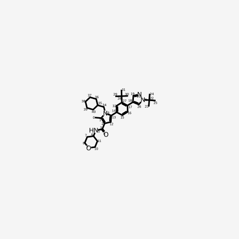 Cc1c(C(=O)NC2CCOCC2)cc(-c2ccc(-c3cnn(C(C)(C)C)c3)c(C(C)(C)C)c2)n1CC1CCCCC1